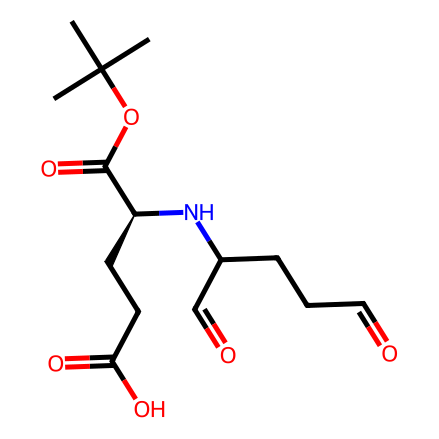 CC(C)(C)OC(=O)[C@H](CCC(=O)O)NC(C=O)CCC=O